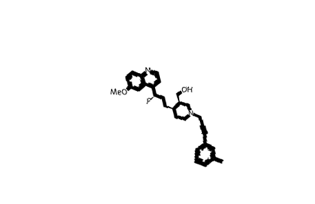 COc1ccc2nccc([C@@H](F)CC[C@@H]3CCN(CC#Cc4cccc(C)c4)C[C@@H]3CO)c2c1